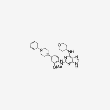 COc1cc(N2CCN(c3ccccc3)CC2)ccc1Nc1nc(NC2CCOCC2)c2nc[nH]c2n1